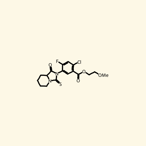 COCCOC(=O)c1cc(N2C(=O)C3CCCCN3C2=S)c(F)cc1Cl